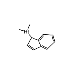 [CH3][Hf]([CH3])[CH]1C=Cc2ccccc21